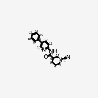 N#CN1CCCC(C(=O)Nc2ccc(-c3ccccc3)cn2)C1